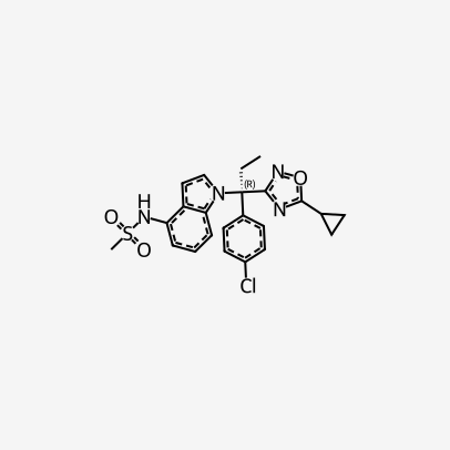 CC[C@@](c1ccc(Cl)cc1)(c1noc(C2CC2)n1)n1ccc2c(NS(C)(=O)=O)cccc21